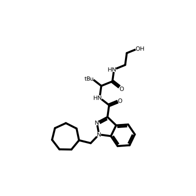 CC(C)(C)C(NC(=O)c1nn(CC2CCCCCC2)c2ccccc12)C(=O)NCCO